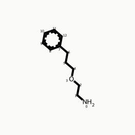 NCCOCCCc1ccccc1